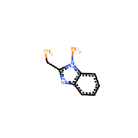 PCc1nc2ccccc2n1P